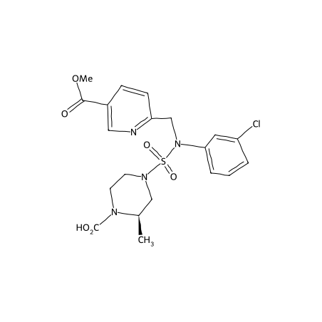 COC(=O)c1ccc(CN(c2cccc(Cl)c2)S(=O)(=O)N2CCN(C(=O)O)[C@H](C)C2)nc1